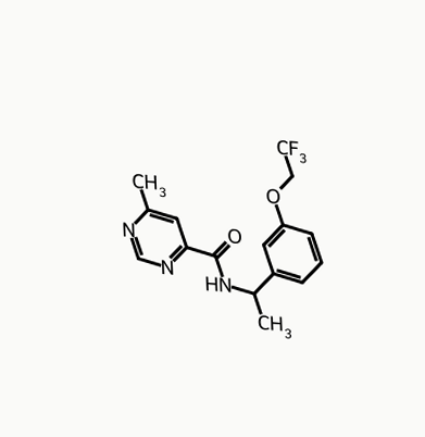 Cc1cc(C(=O)NC(C)c2cccc(OCC(F)(F)F)c2)ncn1